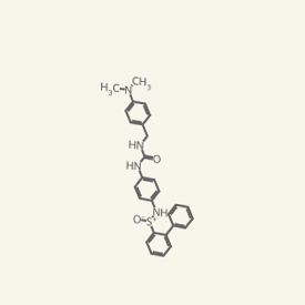 CN(C)c1ccc(CNC(=O)Nc2ccc(N[S+]([O-])c3ccccc3-c3ccccc3)cc2)cc1